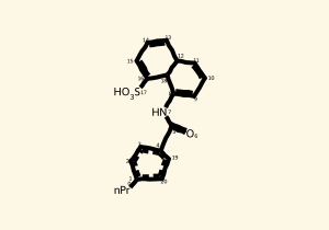 CCCc1ccc(C(=O)NC2=CC=CC3C=CC=C(S(=O)(=O)O)C23)cc1